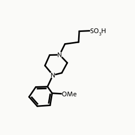 COc1ccccc1N1CCN(CCCS(=O)(=O)O)CC1